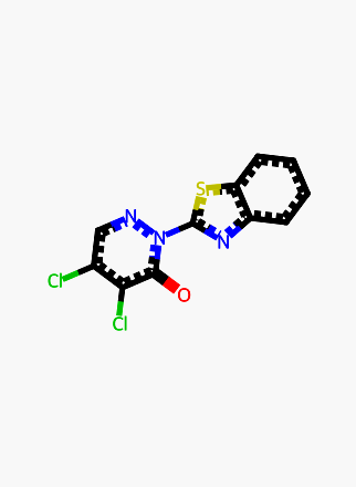 O=c1c(Cl)c(Cl)cnn1-c1nc2ccccc2s1